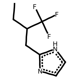 CCC(Cc1ncc[nH]1)C(F)(F)F